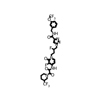 O=C(Nc1ccn(CCC(F)Cn2cc(C(=O)NCc3cccc(OC(F)(F)F)c3)nn2)c(=O)c1F)C(=O)N1CCCC(C(F)(F)F)C1